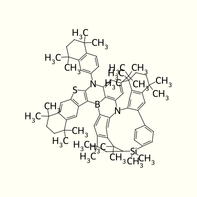 CC(C)(C)c1cc2c3c(c1)N(c1ccc4c(c1)C(C)(C)CCC4(C)C)c1sc4cc5c(cc4c1B3c1cc3c4cc1N2c1cc2c(cc1-c1ccc(cc1)[Si](C)(C)C(CC3(C)C)C4(C)C)C(C)(C)CCC2(C)C)C(C)(C)CCC5(C)C